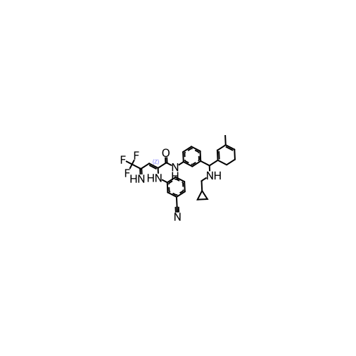 CC1=CCCC(C(NCC2CC2)c2cccc(NC(=O)/C(=C/C(=N)C(F)(F)F)Nc3cccc(C#N)c3)c2)=C1